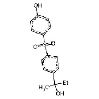 CCC(C)(O)c1ccc(S(=O)(=O)c2ccc(O)cc2)cc1